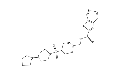 O=C(NCc1ccc(S(=O)(=O)N2CCC(N3CCCC3)CC2)cc1)c1cc2ccncc2o1